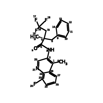 Cc1c(NC(=O)[C@](C)(Cc2ccccc2)CC(F)(F)F)cnc2c(F)cccc12